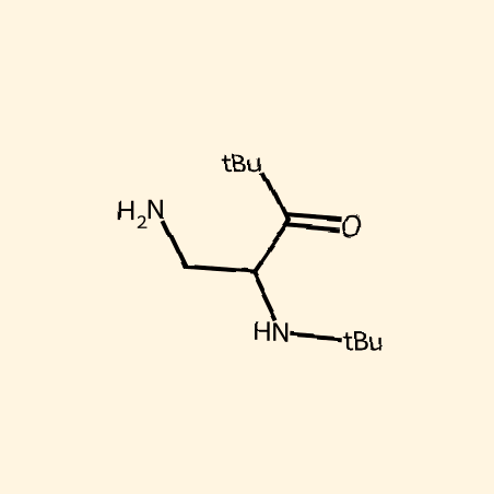 CC(C)(C)NC(CN)C(=O)C(C)(C)C